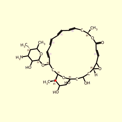 CC1O[C@@H](O[C@H]2/C=C/C=C/C=C/C=C/C[C@@H](C)OC(=O)/C=C/C3O[C@@H]3CC(O)C[C@]3(O)CC(O)[C@@H](C)[C@H](C2)O3)C(O)C(N)[C@@H]1C